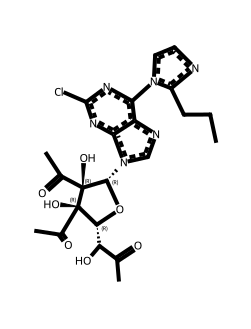 CCCc1nccn1-c1nc(Cl)nc2c1ncn2[C@@H]1O[C@H](C(O)C(C)=O)[C@](O)(C(C)=O)[C@]1(O)C(C)=O